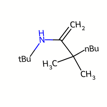 C=C(NC(C)(C)C)C(C)(C)CCCC